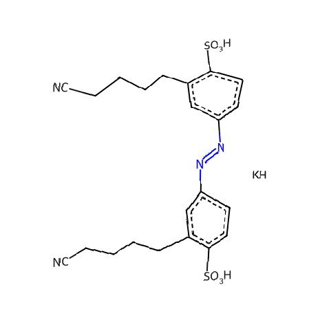 N#CCCCCc1cc(/N=N/c2ccc(S(=O)(=O)O)c(CCCCC#N)c2)ccc1S(=O)(=O)O.[KH]